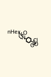 CCCCCCN1CCN(c2ccc(S(=O)(=O)Cl)cc2)C1=O